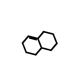 [C]1CCCC2CCCC=C12